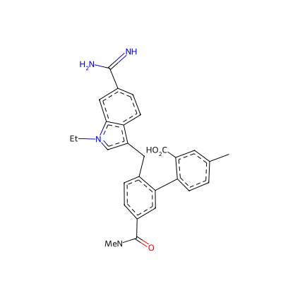 CCn1cc(Cc2ccc(C(=O)NC)cc2-c2ccc(C)cc2C(=O)O)c2ccc(C(=N)N)cc21